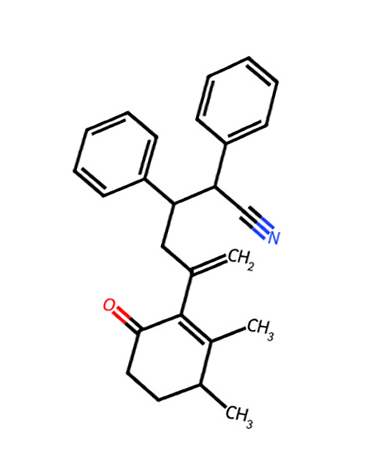 C=C(CC(c1ccccc1)C(C#N)c1ccccc1)C1=C(C)C(C)CCC1=O